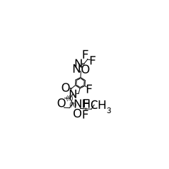 CCC(F)(F)C(=O)N[C@@H]1CCOC[C@H]1N1Cc2c(F)cc(-c3nnc(C(F)F)o3)cc2C1=O